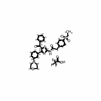 CCS(=O)(=O)c1ccc(CC(=O)Nc2nc(-c3cccc(N4CCOCC4)c3)c(C(=O)c3ccccc3)s2)cc1.O=C(O)C(F)(F)F